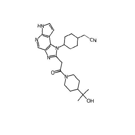 CC(C)(O)C1CCN(C(=O)Cc2nc3cnc4[nH]ccc4c3n2C2CCC(CC#N)CC2)CC1